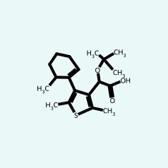 Cc1sc(C)c(C(OC(C)(C)C)C(=O)O)c1C1=CCCCC1C